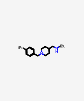 CCC(C)NCC1CCN(Cc2ccc(C(C)C)cc2)CC1